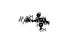 C#Cc1cccc(Nc2c(C#N)cnc3cc(O[C@H]4CCOC4)c(NC(=O)/C=C/CNCC(OC)OC)cc23)c1